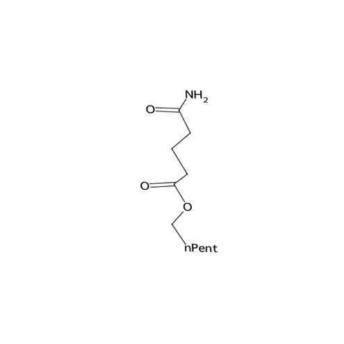 CCCCCCOC(=O)CCCC(N)=O